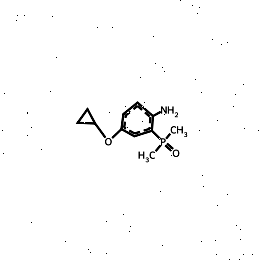 CP(C)(=O)c1cc(OC2CC2)ccc1N